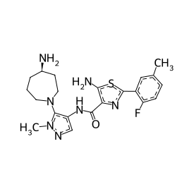 Cc1ccc(F)c(-c2nc(C(=O)Nc3cnn(C)c3N3CCC[C@@H](N)CC3)c(N)s2)c1